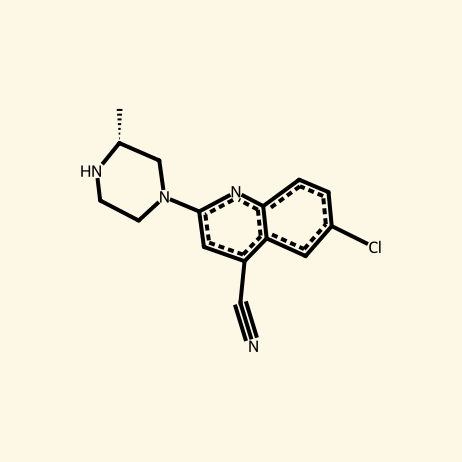 C[C@@H]1CN(c2cc(C#N)c3cc(Cl)ccc3n2)CCN1